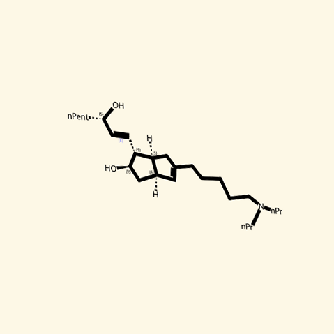 CCCCC[C@H](O)/C=C/[C@@H]1[C@H]2CC(CCCCCN(CCC)CCC)=C[C@H]2C[C@H]1O